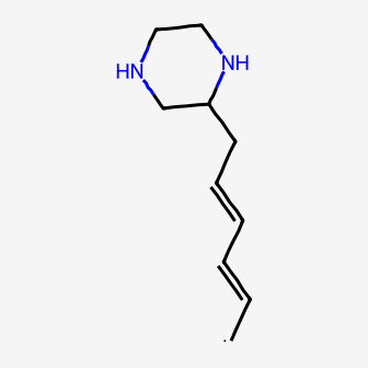 [CH2]C=CC=CCC1CNCCN1